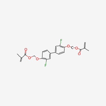 C=C(C)C(=O)OCOc1ccc(-c2ccc(OCOC(=O)C(=C)C)c(F)c2)cc1F